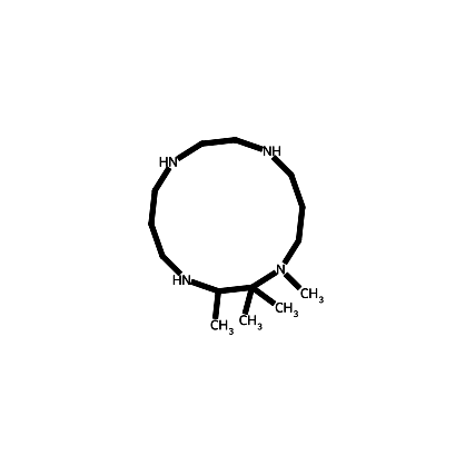 CC1NCCCNCCNCCCN(C)C1(C)C